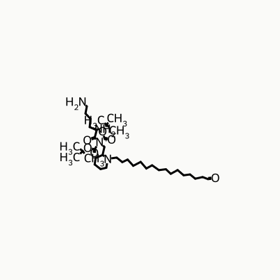 CC(C)(C)OC(=O)[N+](CC1CCCCN1CCCCCCCCCCCCCCCC=O)(C(=O)OC(C)(C)C)C(=O)C(N)CCCCN